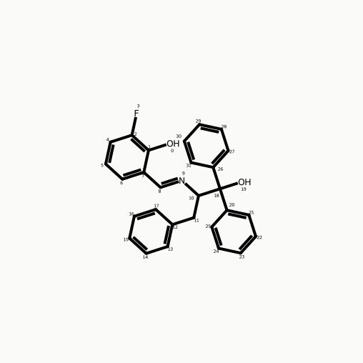 Oc1c(F)cccc1C=NC(Cc1ccccc1)C(O)(c1ccccc1)c1ccccc1